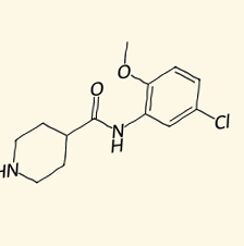 COc1ccc(Cl)cc1NC(=O)C1CCNCC1